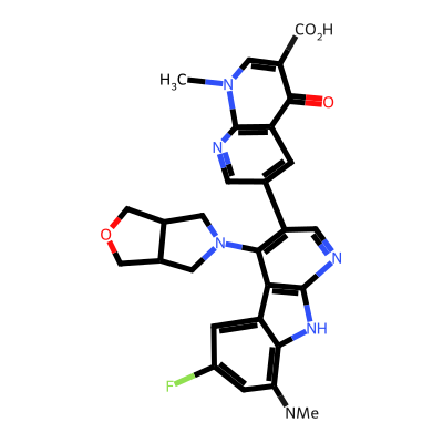 CNc1cc(F)cc2c1[nH]c1ncc(-c3cnc4c(c3)c(=O)c(C(=O)O)cn4C)c(N3CC4COCC4C3)c12